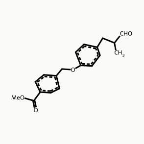 COC(=O)c1ccc(COc2ccc(CC(C)C=O)cc2)cc1